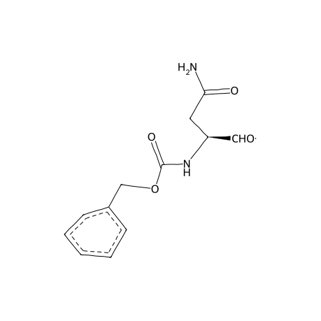 NC(=O)C[C@@H]([C]=O)NC(=O)OCc1ccccc1